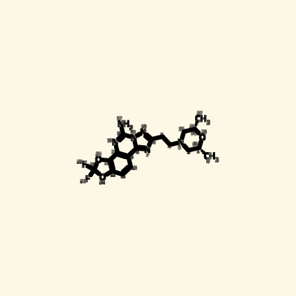 C[C@@H]1CN(CCc2nc3c4ccc5c(c4nc(N)n3n2)OC(F)(F)O5)C[C@H](C)O1